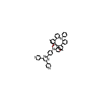 Cc1ccc2c(c1)C1(c3ccccc3-c3ccccc3N(c3ccccc3)c3ccccc3-c3ccccc31)c1cc(C)ccc1N2c1ccc(-c2nc(-c3ccncc3)cc(-c3ccncc3)n2)cc1